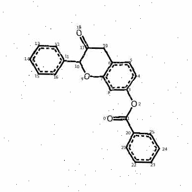 O=C(Oc1ccc2c(c1)OC(c1ccccc1)C(=O)C2)c1ccccc1